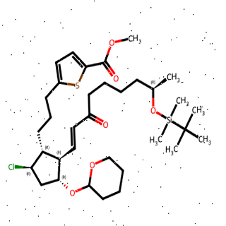 COC(=O)c1ccc(CCC[C@@H]2[C@@H](C=CC(=O)CCCC[C@@H](C)O[Si](C)(C)C(C)(C)C)[C@H](OC3CCCCO3)C[C@H]2Cl)s1